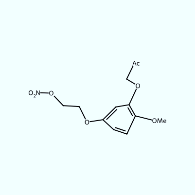 COc1ccc(OCCO[N+](=O)[O-])cc1OCC(C)=O